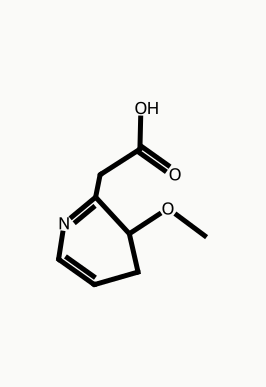 COC1CC=CN=C1CC(=O)O